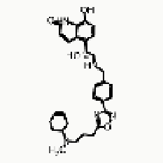 CN(CCCc1nc(-c2ccc(CNC[C@H](O)c3ccc(O)c4[nH]c(=O)ccc34)cc2)no1)C1CC#CCC1